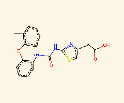 Cc1ccccc1Oc1ccccc1NC(=O)Nc1nc(CC(=O)O)cs1